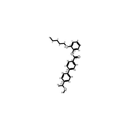 CCCCCOc1ccccc1OC(=O)c1ccc(-c2ccc(C(C)OC)cc2)cc1